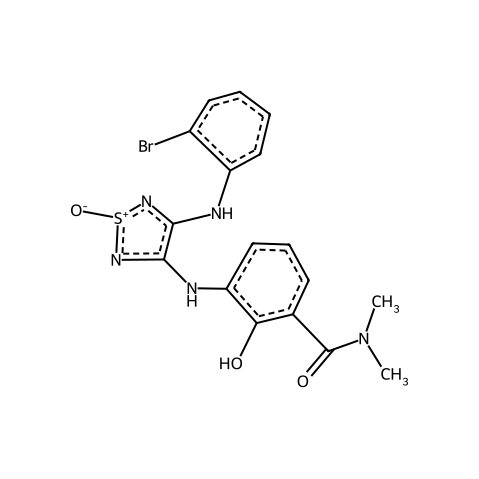 CN(C)C(=O)c1cccc(Nc2n[s+]([O-])nc2Nc2ccccc2Br)c1O